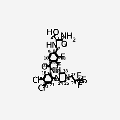 NC(=O)[C@H](CO)NCc1ccc(C(=O)Nc2cc(Cl)c(Cl)cc2N2CCN(CCC(F)(F)F)CC2)c(F)c1F